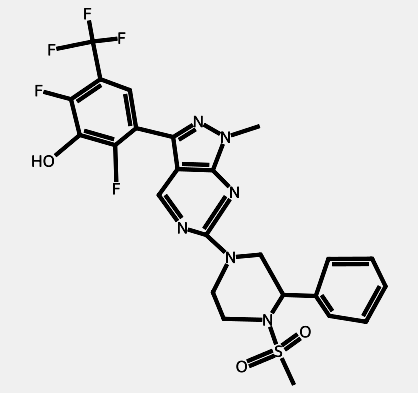 Cn1nc(-c2cc(C(F)(F)F)c(F)c(O)c2F)c2cnc(N3CCN(S(C)(=O)=O)C(c4ccccc4)C3)nc21